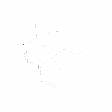 C=CN(/N=N\CC)C(C)(CCC)CCC